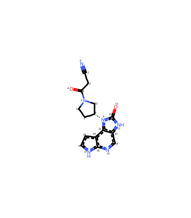 N#CCC(=O)N1CC[C@@H](n2c(=O)[nH]c3cnc4[nH]ccc4c32)C1